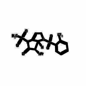 CCC[C@H]1C(=O)N(S(C)(=O)=O)C2=CCN(S(=O)(=O)c3ccccc3C(F)(F)F)[C@@H]21